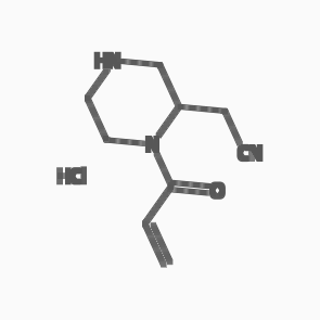 C=CC(=O)N1CCNCC1CC#N.Cl